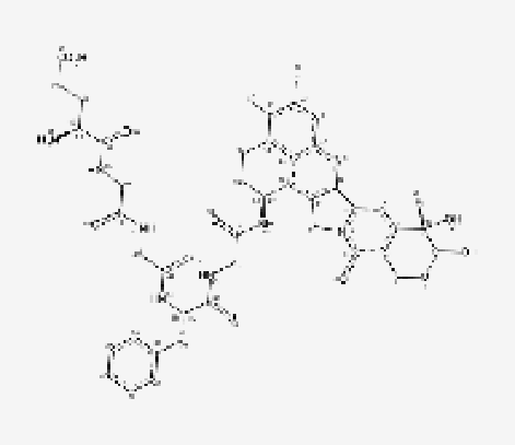 CC[C@@]1(O)C(=O)OCc2c1cc1n(c2=O)Cc2c-1nc1cc(F)c(C)c3c1c2[C@@H](NC(=O)CNC(=O)[C@H](Cc1ccccc1)NC(=O)CNC(=O)CNC(=O)[C@@H](N)CCC(=O)O)CC3